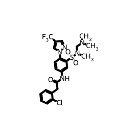 CN(C)CN(C)S(=O)(=O)c1cc(NC(=O)Cc2ccccc2Cl)ccc1-n1cc(C(F)(F)F)cn1